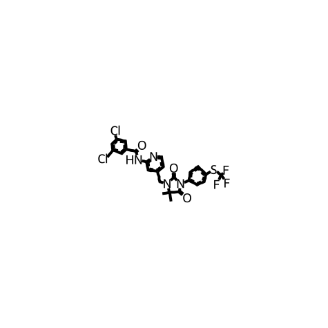 CC1(C)C(=O)N(c2ccc(SC(F)(F)F)cc2)C(=O)N1Cc1ccnc(NC(=O)c2cc(Cl)cc(Cl)c2)c1